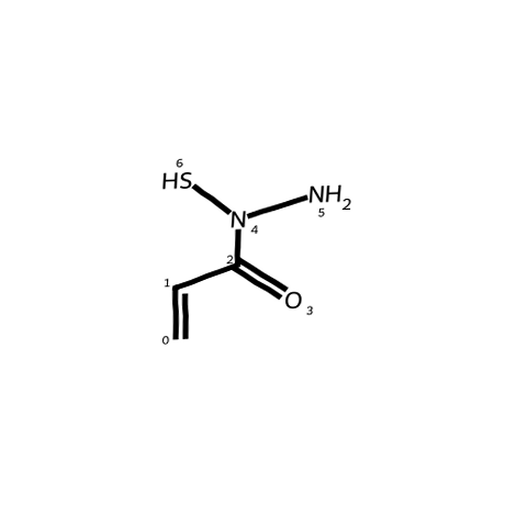 C=CC(=O)N(N)S